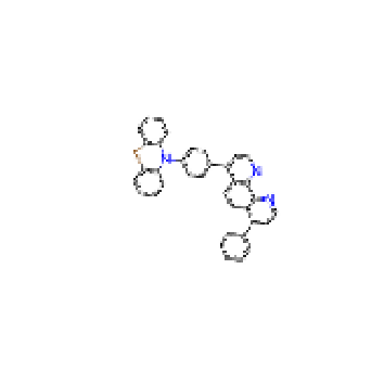 c1ccc(-c2ccnc3c2ccc2c(-c4ccc(N5c6ccccc6Sc6ccccc65)cc4)ccnc23)cc1